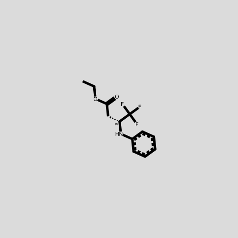 CCOC(=O)C[C@@H](Nc1ccccc1)C(F)(F)F